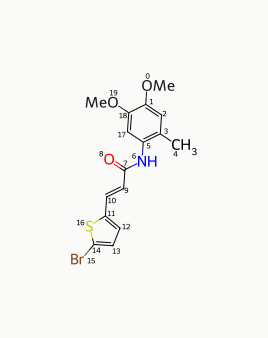 COc1cc(C)c(NC(=O)/C=C/c2ccc(Br)s2)cc1OC